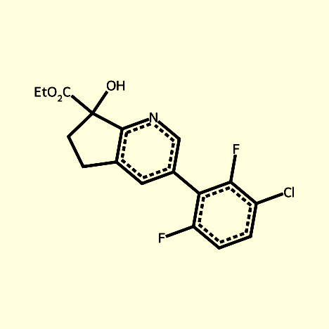 CCOC(=O)C1(O)CCc2cc(-c3c(F)ccc(Cl)c3F)cnc21